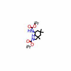 CC(C)OC(=O)NCC1(C)CC(NC(=O)OC(C)C)CC(C)(C)C1